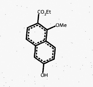 CCOC(=O)c1ccc2cc(O)ccc2c1OC